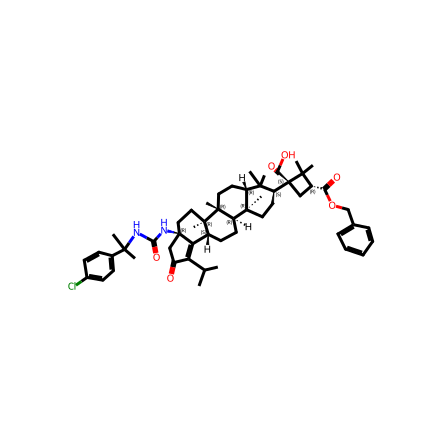 CC(C)C1=C2[C@H]3CC[C@@H]4[C@]5(C)CC[C@H]([C@@]6(C(=O)O)C[C@@H](C(=O)OCc7ccccc7)C6(C)C)C(C)(C)[C@H]5CC[C@@]4(C)[C@]3(C)CC[C@@]2(NC(=O)NC(C)(C)c2ccc(Cl)cc2)CC1=O